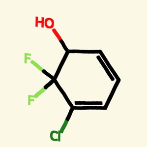 OC1C=CC=C(Cl)C1(F)F